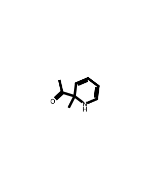 CC(=O)C1(C)C=CC=CN1